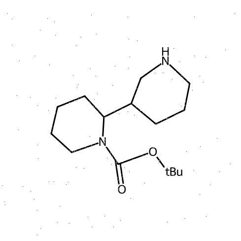 CC(C)(C)OC(=O)N1CCCCC1C1CCCNC1